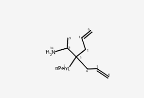 C=CCC(CC=C)(CCCCC)C(C)N